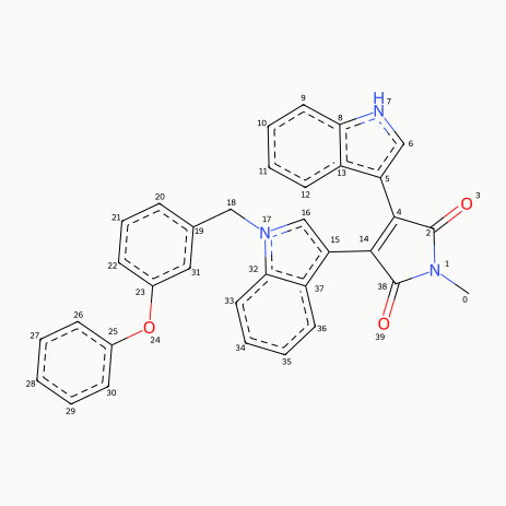 CN1C(=O)C(c2c[nH]c3ccccc23)=C(c2cn(Cc3cccc(Oc4ccccc4)c3)c3ccccc23)C1=O